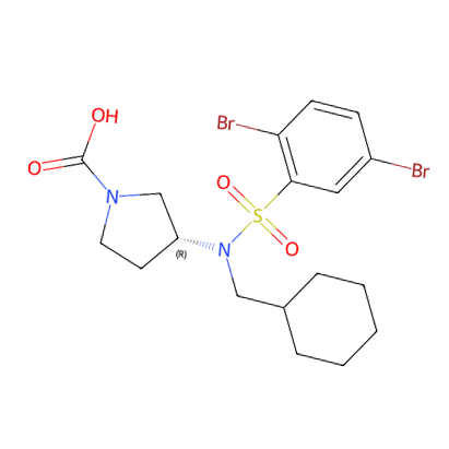 O=C(O)N1CC[C@@H](N(CC2CCCCC2)S(=O)(=O)c2cc(Br)ccc2Br)C1